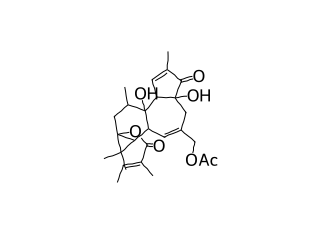 CC=C(C)C(=O)OC12CC(C)C3(O)C(C=C(COC(C)=O)CC4(O)C(=O)C(C)=CC43)C1C2(C)C